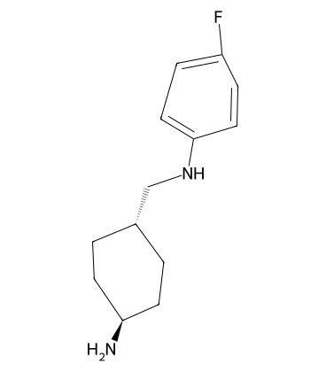 N[C@H]1CC[C@H](CNc2ccc(F)cc2)CC1